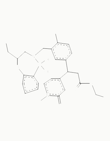 CCOC(=O)CC(c1ccc(C)c(CN2CC(CC)Oc3ccccc3S2(O)O)c1)c1ccn(C)c(=O)c1